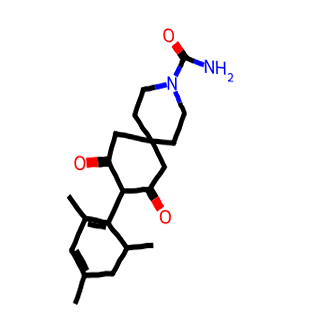 CC1=CC(C)=C(C2C(=O)CC3(CCN(C(N)=O)CC3)CC2=O)C(C)C1